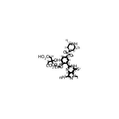 CCCc1nn(C)c2c(=S)[nH]c(-c3cc(S(=O)(=O)N4C[C@@H](C)N[C@@H](C)C4)ccc3OCC)nc12.O=C(O)CC(O)(CC(=O)O)C(=O)O